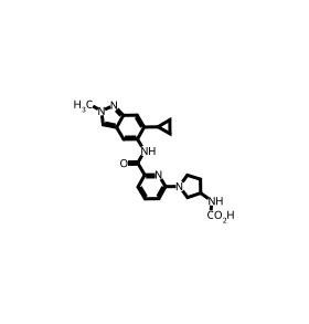 Cn1cc2cc(NC(=O)c3cccc(N4CCC(NC(=O)O)C4)n3)c(C3CC3)cc2n1